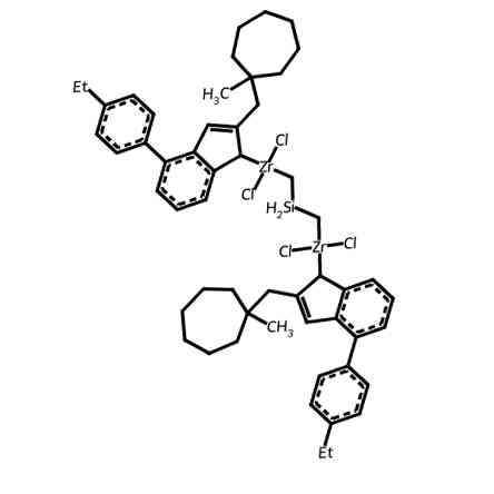 CCc1ccc(-c2cccc3c2C=C(CC2(C)CCCCCC2)[CH]3[Zr]([Cl])([Cl])[CH2][SiH2][CH2][Zr]([Cl])([Cl])[CH]2C(CC3(C)CCCCCC3)=Cc3c(-c4ccc(CC)cc4)cccc32)cc1